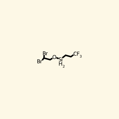 FC(F)(F)CC[SiH2]OCC(Br)Br